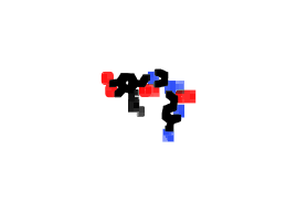 Cc1c(C(O)CN2CCC(NCC(O)c3ccc(C#N)cn3)C2)ccc2c1COC2=O